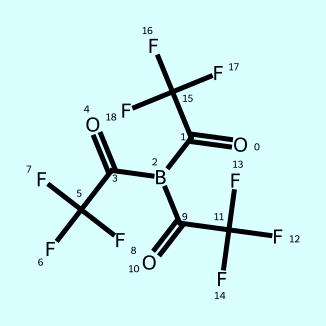 O=C(B(C(=O)C(F)(F)F)C(=O)C(F)(F)F)C(F)(F)F